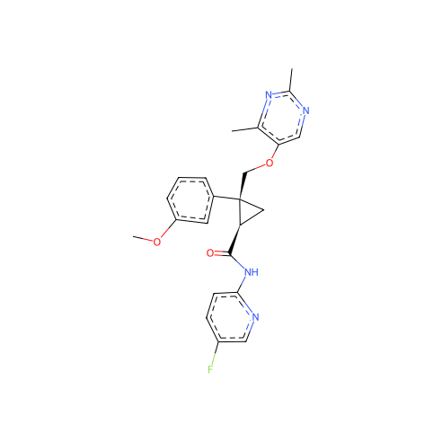 COc1cccc([C@]2(COc3cnc(C)nc3C)C[C@H]2C(=O)Nc2ccc(F)cn2)c1